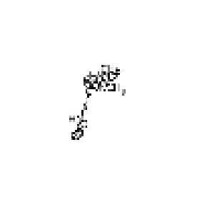 COc1cc2c(N[C@H](C)c3cccc(Br)c3)nc(C)nc2cc1OCCCCCCCNC(=O)CC1C2CC3CC(C2)CC1C3